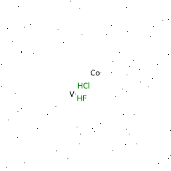 Cl.F.[Co].[V]